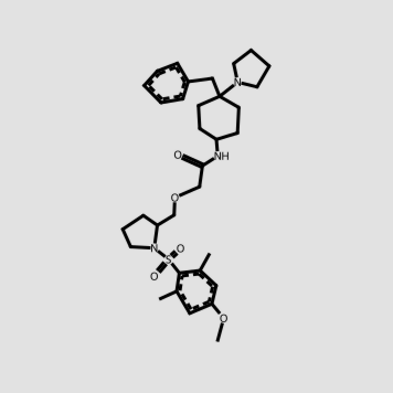 COc1cc(C)c(S(=O)(=O)N2CCCC2COCC(=O)NC2CCC(Cc3ccccc3)(N3CCCC3)CC2)c(C)c1